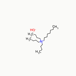 CCCCCCCC[N+](CCCC)(CCCC)CCCC.[OH-]